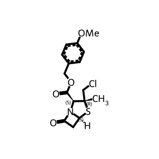 COc1ccc(COC(=O)[C@@H]2N3C(=O)C[C@@H]3S[C@@]2(C)CCl)cc1